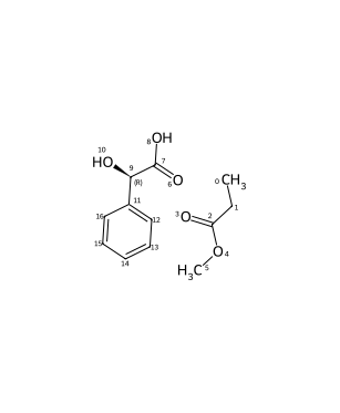 CCC(=O)OC.O=C(O)[C@H](O)c1ccccc1